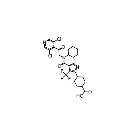 O=C(CN(C(=O)c1cnn(C2CCC(C(=O)O)CC2)c1C(F)(F)F)C1CCCCC1)c1c(Cl)cncc1Cl